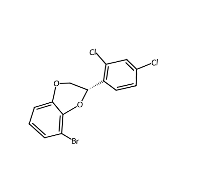 Clc1ccc([C@H]2COc3cccc(Br)c3O2)c(Cl)c1